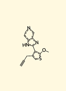 C#CCc1csc(OC)c1-c1nc2cnccc2[nH]1